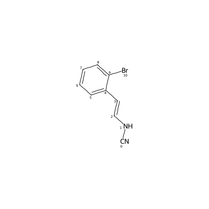 N#CNC=Cc1ccccc1Br